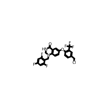 O=C1NCN(Cc2c(F)cc(F)cc2F)c2ccc(Oc3ccc(CCl)cc3C(F)(F)F)cc21